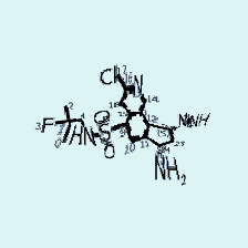 CC(C)(F)CNS(=O)(=O)c1cc2c(c3cnc(Cl)cc13)[C@@H](N=N)C[C@@H]2N